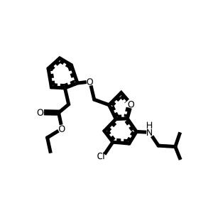 CCOC(=O)Cc1ccccc1OCc1coc2c(NCC(C)C)cc(Cl)cc12